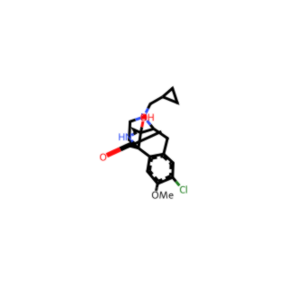 COc1cc2c(cc1Cl)CC1N(CC3CC3)CCC23CC(=O)NCCC13O